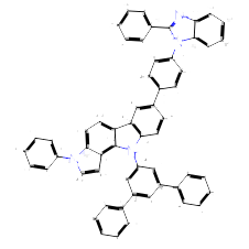 c1ccc(-c2cc(-c3ccccc3)cc(-n3c4ccc(-c5ccc(-n6c(-c7ccccc7)nc7ccccc76)cc5)cc4c4ccc5c(ccn5-c5ccccc5)c43)c2)cc1